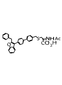 CC(=O)N[C@@H](CSCc1ccc(-c2ccc(-c3c(Cc4ccccc4)oc4ccccc34)cc2)cc1)C(=O)O